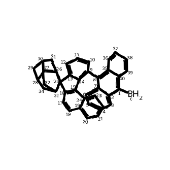 Bc1c2ccccc2c(-c2cccc3c2-c2c(ccc4ccccc24)C32C3CC4CC(C3)CC2C4)c2ccccc12